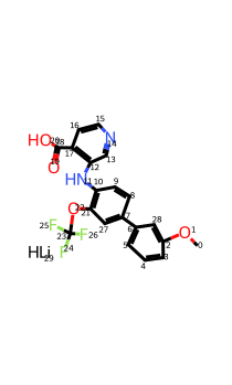 COc1cccc(-c2ccc(Nc3cnccc3C(=O)O)c(OC(F)(F)F)c2)c1.[LiH]